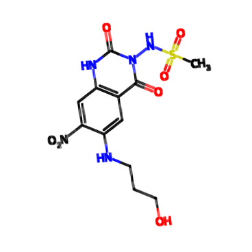 CS(=O)(=O)Nn1c(=O)[nH]c2cc([N+](=O)[O-])c(NCCCO)cc2c1=O